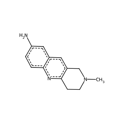 CN1CCc2nc3ccc(N)cc3cc2C1